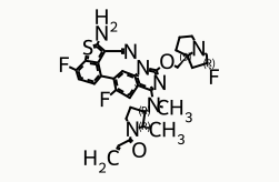 C=CC(=O)N1CC[C@@H](N(C)c2nc(OC[C@@]34CCCN3C[C@H](F)C4)nc3cc(-c4ccc(F)c5sc(N)c(C#N)c45)c(F)cc23)[C@H]1C